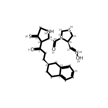 O=C(CC[C@@H]1CCc2ccccc2C1)C1C(=S)CN[C@@H]1C(=O)N1CSC[C@H]1C=NO